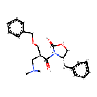 CN(C)C[C@@H](COCc1ccccc1)C(=O)N1C(=O)OC[C@@H]1Cc1ccccc1